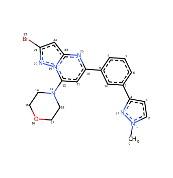 Cn1ccc(-c2cccc(-c3cc(N4CCOCC4)n4nc(Br)cc4n3)c2)n1